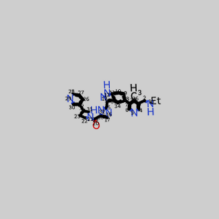 CCNCc1cncc(-c2ccc3[nH]nc(-c4ncc(C(=O)N5CCC(c6cccnc6)C5)[nH]4)c3c2)c1C